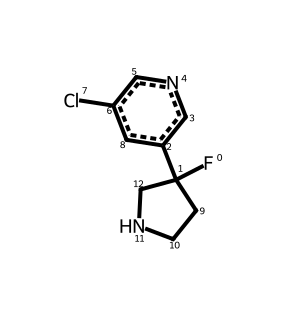 FC1(c2cncc(Cl)c2)CCNC1